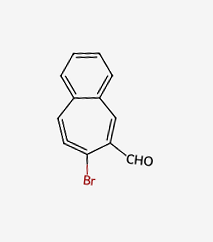 O=CC1=Cc2ccccc2C=C=C1Br